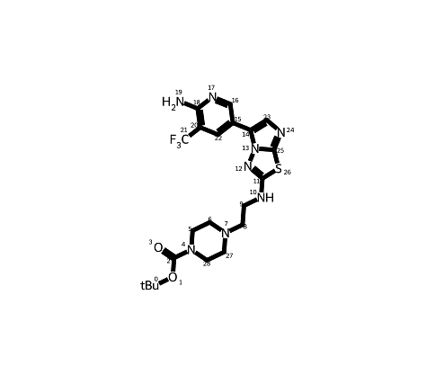 CC(C)(C)OC(=O)N1CCN(CCNc2nn3c(-c4cnc(N)c(C(F)(F)F)c4)cnc3s2)CC1